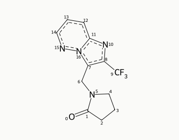 O=C1CCCN1Cc1c(C(F)(F)F)nc2cccnn12